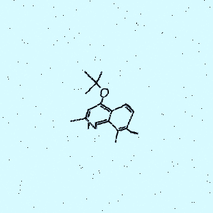 Cc1cc(OC(C)(C)C)c2ccc(C)c(C)c2n1